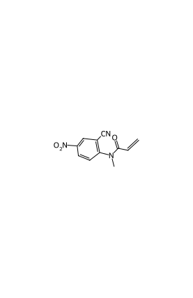 C=CC(=O)N(C)c1ccc([N+](=O)[O-])cc1C#N